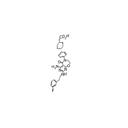 Nc1nc(NCCc2cccc(F)c2)nc2c1C(=O)N(c1ccc([C@H]3CC[C@H](CC(=O)O)CC3)cc1)CCO2